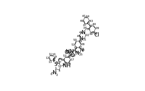 CN(C)CCC(CSc1ccccc1)Nc1ccc(S(=O)(=O)Nc2ncnc3cc(N4CCN(Cc5cc(Cl)ccc5-c5ccccc5)CC4)ccc23)cc1C(F)(F)F